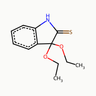 CCOC1(OCC)C(=S)Nc2ccccc21